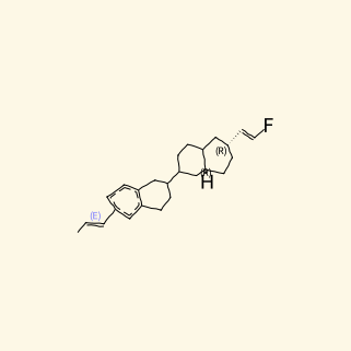 C/C=C/c1ccc2c(c1)CCC(C1CCC3C[C@H](C=CF)CC[C@@H]3C1)C2